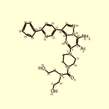 CC(=O)c1c(N2CCN(C(=O)N(CCO)CCO)CC2)nc2c(-c3ccc(-c4ccccc4)nc3)cnn2c1N